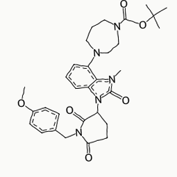 COc1ccc(CN2C(=O)CCC(n3c(=O)n(C)c4c(N5CCCN(C(=O)OC(C)(C)C)CC5)cccc43)C2=O)cc1